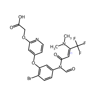 CN(C)/C(=C\C(=O)N(C=O)c1ccc(Br)c(Oc2ccnc(OCC(=O)O)c2)c1)C(F)(F)F